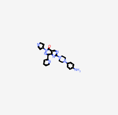 Nc1ccc(N2CCN(c3ncc4c(=O)n(-c5ccncc5)nc(-c5ccccn5)c4n3)CC2)cc1